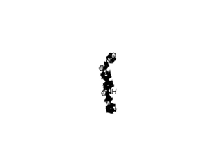 O=C(Nc1ccc(C2CCN(C(=O)CCN3CCOCC3)CC2)cc1)C1CN(c2cccnc2)C1